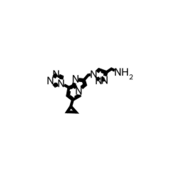 NCc1cn(Cc2cn3cc(C4CC4)cc(-n4cnnc4)c3n2)nn1